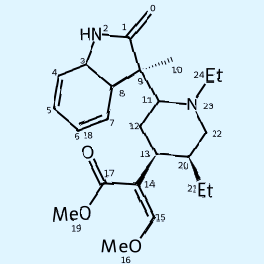 C=C1NC2C=CC=CC2[C@]1(C)C1C[C@H](C(=COC)C(=O)OC)[C@H](CC)CN1CC